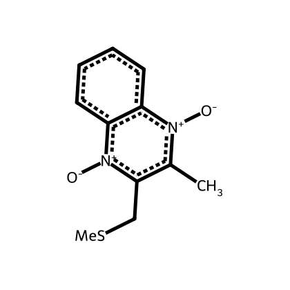 CSCc1c(C)[n+]([O-])c2ccccc2[n+]1[O-]